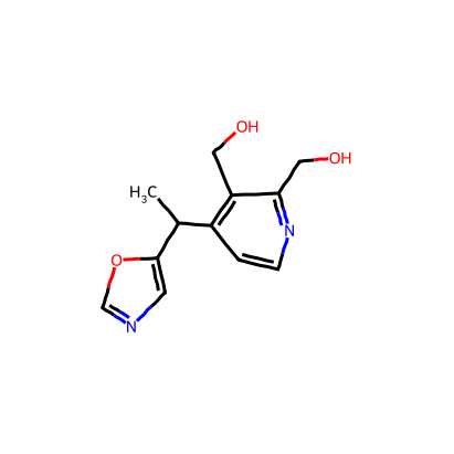 CC(c1cnco1)c1ccnc(CO)c1CO